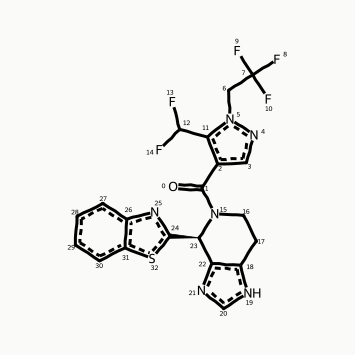 O=C(c1cnn(CC(F)(F)F)c1C(F)F)N1CCc2[nH]cnc2[C@H]1c1nc2ccccc2s1